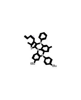 C=C/C=C\c1c(C)sc2c1N(c1ccccc1)c1cc(C)cc3c1B2c1ccc(C(C)(C)C)cc1N3c1ccc(C(C)(C)C)cc1